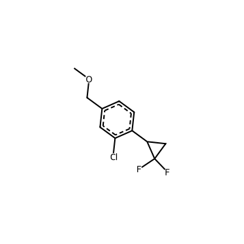 COCc1ccc(C2CC2(F)F)c(Cl)c1